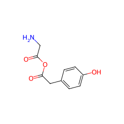 NCC(=O)OC(=O)Cc1ccc(O)cc1